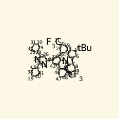 CC(C)(C)c1ccc2c(c1)c1ccccc1n2-c1c(-c2cccc(C(F)(F)F)c2)cc(-c2cc(-c3ccccc3)nc(-c3ccccc3)n2)cc1-c1cccc(C(F)(F)F)c1